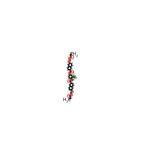 C=CC(=O)OCOc1ccc2cc(C(=O)Oc3ccc(OC(=O)c4ccc5cc(OCOC(=O)C=C)ccc5c4)c(C(F)(F)F)c3)ccc2c1